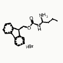 Br.CCCC(N)NC(=O)OCC1c2ccccc2-c2ccccc21